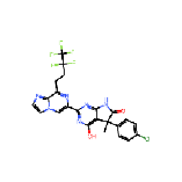 CC1(c2ccc(Cl)cc2)C(=O)Nc2nc(-c3cn4ccnc4c(CCC(F)(F)C(F)(F)F)n3)nc(O)c21